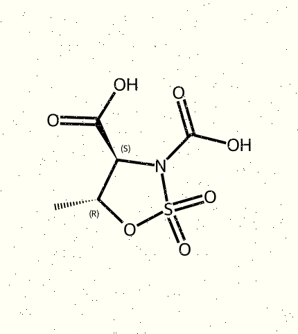 C[C@H]1OS(=O)(=O)N(C(=O)O)[C@@H]1C(=O)O